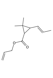 C=CCOC(=O)C1C(C=CC)C1(C)C